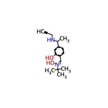 C#CCNC(C)c1ccc(/C=[N+](\O)C(C)(C)C)c(O)c1